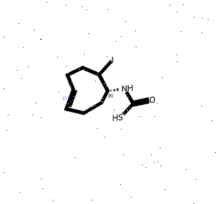 O=C(S)N[C@@H]1CC/C=C/CCC1I